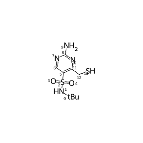 CC(C)(C)NS(=O)(=O)c1cnc(N)nc1CS